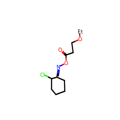 CCOCCC(=O)ON=C1CCCCC1Cl